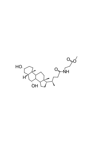 COC(=O)CCNC(=O)CC[C@@H](C)[C@H]1CCC2C3C(CC[C@@]21C)[C@@]1(C)CC[C@@H](O)C[C@H]1C[C@H]3O